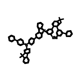 Cc1cc(-c2ccccc2)cc(-c2c(-c3cc(-n4c5ccccc5c5cc(-c6ccc(N(c7ccc(-c8ccccc8)cc7)c7ccc8c(c7)C(C)(C)c7ccccc7-8)cc6)ccc54)cc(C(C)(C)C)c3)ccc3c2CC3(C)C)c1